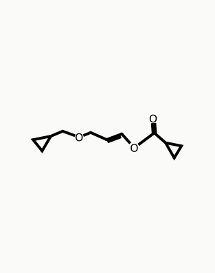 O=C(OC=CCOCC1CC1)C1CC1